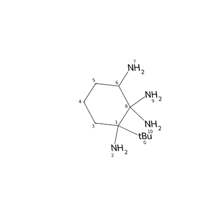 CC(C)(C)C1(N)CCCC(N)C1(N)N